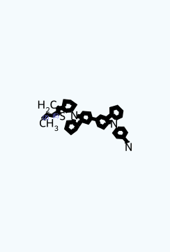 C=c1/c(=C\C=C/C)sc2c(-n3c4ccccc4c4cc(-c5ccc6c(c5)c5ccccc5n6-c5ccc(C#N)cc5)ccc43)cccc12